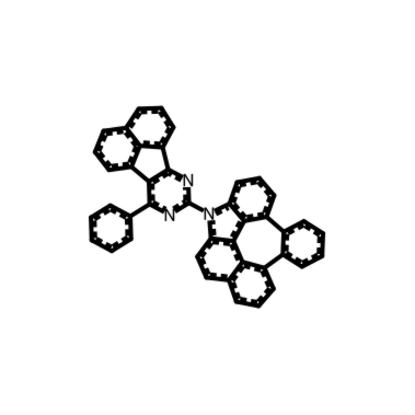 c1ccc(-c2nc(-n3c4cccc5c4c4c6c(cccc6ccc43)-c3ccccc3-5)nc3c2-c2cccc4cccc-3c24)cc1